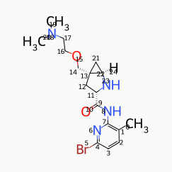 Cc1ccc(Br)nc1NC(=O)[C@@H]1C[C@@]2(COCCN(C)C)C[C@H]2N1